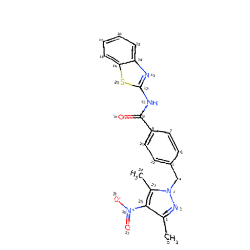 Cc1nn(Cc2ccc(C(=O)Nc3nc4ccccc4s3)cc2)c(C)c1[N+](=O)[O-]